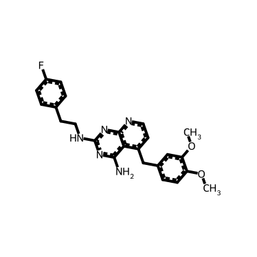 COc1ccc(Cc2ccnc3nc(NCCc4ccc(F)cc4)nc(N)c23)cc1OC